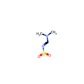 CN(C)C=N[SH](=O)=O